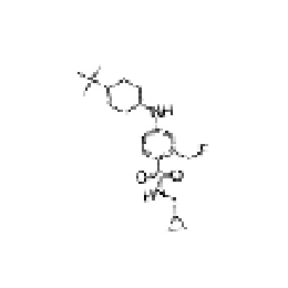 CC(C)(C)C1CCC(Nc2ccc(S(=O)(=O)NCC3CC3)c(CF)c2)CC1